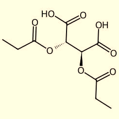 CCC(=O)O[C@H](C(=O)O)[C@H](OC(=O)CC)C(=O)O